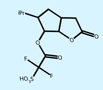 CC(C)C1CC2CC(=O)OC2C1OC(=O)C(F)(F)S(=O)(=O)O